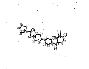 O=C1CCC(Nc2ccc(C3CCN(CC(=O)N4CCCCC4)CC3)cc2)C(=O)N1